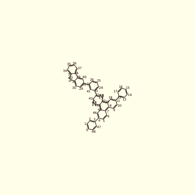 c1ccc(-c2ccc3c4ccc(-c5ccccc5)cc4c4nc(-c5cccc(-c6ccc7sc8ccccc8c7c6)c5)cnc4c3c2)cc1